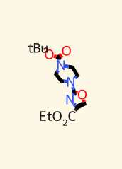 CCOC(=O)c1coc(N2CCN(C(=O)OC(C)(C)C)CC2)n1